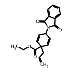 C=CCC1(C(=O)OCC)C=CC(N2C(=O)c3ccccc3C2=O)C=C1